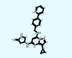 O=C1C[C@H](Nc2cc(NCc3ccc(-c4ccccn4)cc3)n3ncc(C4CC4)c3n2)CN1